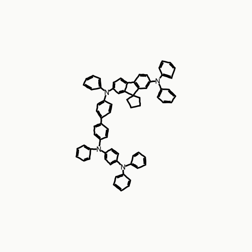 c1ccc(N(c2ccccc2)c2ccc(N(c3ccccc3)c3ccc(-c4ccc(N(c5ccccc5)c5ccc6c(c5)C5(CCCC5)c5cc(N(c7ccccc7)c7ccccc7)ccc5-6)cc4)cc3)cc2)cc1